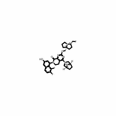 O=C1c2nc(OC[C@]34CCCN3[C@@H](CF)CC4)nc(N3C[C@H]4CC[C@@H](C3)N4)c2CCN1c1cc(O)cc2ccc(F)c(F)c12